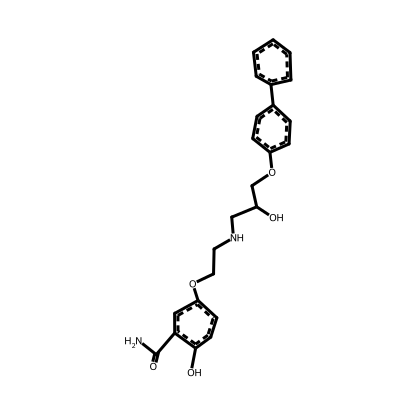 NC(=O)c1cc(OCCNCC(O)COc2ccc(-c3ccccc3)cc2)ccc1O